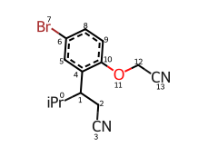 CC(C)C(CC#N)c1cc(Br)ccc1OCC#N